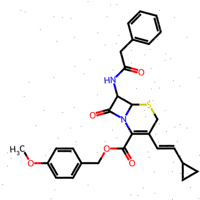 COc1ccc(COC(=O)C2=C(/C=C/C3CC3)CSC3C(NC(=O)Cc4ccccc4)C(=O)N23)cc1